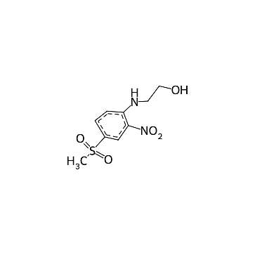 CS(=O)(=O)c1ccc(NCCO)c([N+](=O)[O-])c1